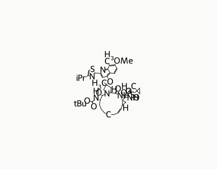 COc1ccc2c(OC3(C)C[C@H]4C(=O)N[C@]5(C(=O)NS(=O)(=O)C6(C)CC6)C[C@H]5/C=C\CCCCC[C@H](NC(=O)OC(C)(C)C)C(=O)N4C3)cc(-c3nc(C(C)C)cs3)nc2c1C